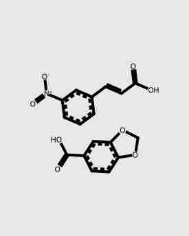 O=C(O)C=Cc1cccc([N+](=O)[O-])c1.O=C(O)c1ccc2c(c1)OCO2